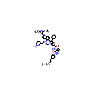 CCN1CCCC(CCN2CCn3c(c(C4CCCCC4)c4sc(C(=O)NC5(C(=O)Nc6ccc(/C=C/C(=O)O)cc6)CCC5)cc43)-c3ccc4nc(-c5sc(C)nc5C)ccc4c32)C1